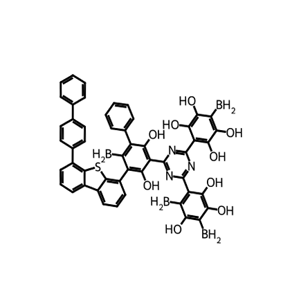 Bc1c(O)c(B)c(-c2nc(-c3c(O)c(O)c(B)c(O)c3O)nc(-c3c(O)c(-c4ccccc4)c(B)c(-c4cccc5c4sc4c(-c6ccc(-c7ccccc7)cc6)cccc45)c3O)n2)c(O)c1O